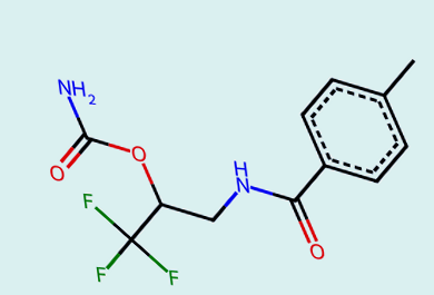 Cc1ccc(C(=O)NCC(OC(N)=O)C(F)(F)F)cc1